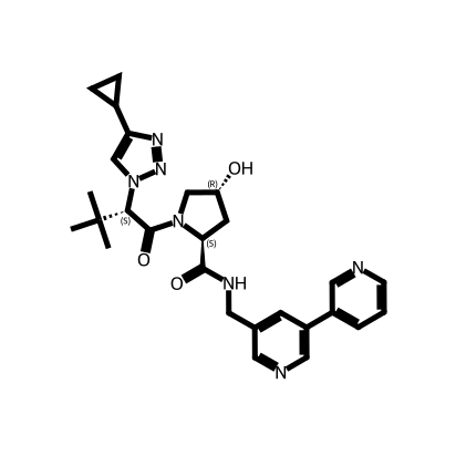 CC(C)(C)[C@@H](C(=O)N1C[C@H](O)C[C@H]1C(=O)NCc1cncc(-c2cccnc2)c1)n1cc(C2CC2)nn1